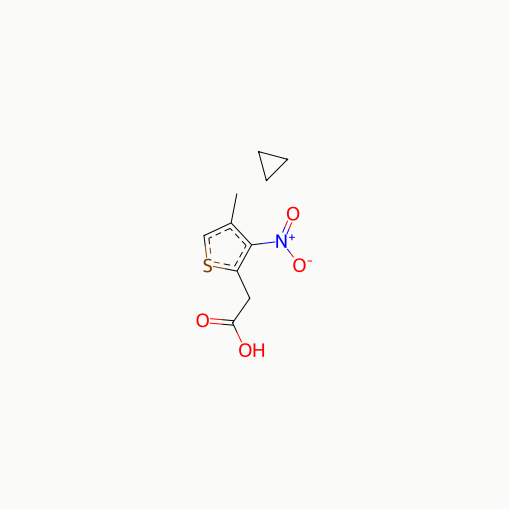 C1CC1.Cc1csc(CC(=O)O)c1[N+](=O)[O-]